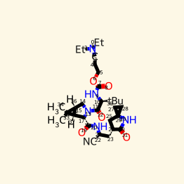 CCN(CC)CCCOC(=O)N[C@H](C(=O)N1C[C@H]2[C@@H]([C@H]1C(=O)N[C@H](C#N)C[C@@H]1CC3(CC3)NC1=O)C2(C)C)C(C)(C)C